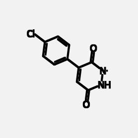 O=C1C=C(c2ccc(Cl)cc2)C(=O)[N]N1